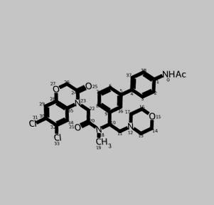 CC(=O)Nc1ccc(-c2cccc(C(CN3CCOCC3)N(C)C(=O)CN3C(=O)COc4cc(Cl)c(Cl)cc43)c2)cc1